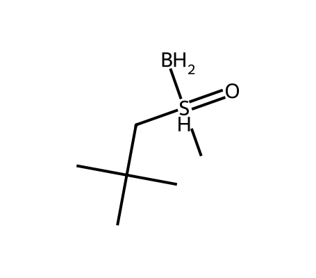 B[SH](C)(=O)CC(C)(C)C